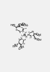 CCCCc1cc(CN(Cc2ccc(O)c(CCCC)c2)Cc2ccc(O)c(CCCC)c2)ccc1O